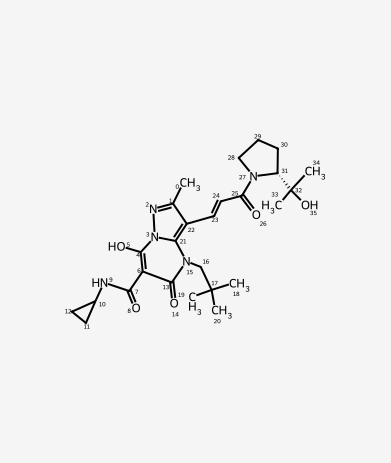 Cc1nn2c(O)c(C(=O)NC3CC3)c(=O)n(CC(C)(C)C)c2c1/C=C/C(=O)N1CCC[C@@H]1C(C)(C)O